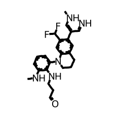 CN/C=C(\C=N)c1cc2c(cc1C(F)F)N(c1cccc(NC)c1NCCC=O)CCC2